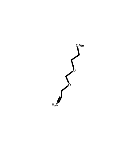 C=CCOCOCCOC